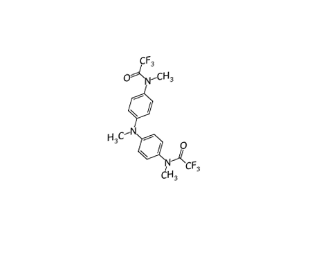 CN(C(=O)C(F)(F)F)c1ccc(N(C)c2ccc(N(C)C(=O)C(F)(F)F)cc2)cc1